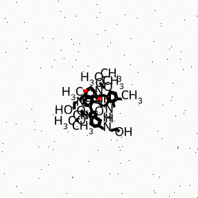 CCc1ccc(-c2cc3cc(CNCCO)ccc3n2C(=O)OC(C)(C)C)c2c1CNC2C(=O)C1NCc2c(CC)ccc(-c3cc4cc(CNCCO)ccc4n3C(=O)OC(C)(C)C)c21